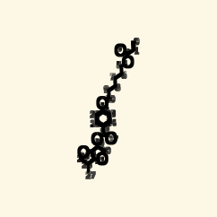 C=CC(=O)OCCCCCCOc1ccc(C(=O)OC2COC3C2OC[C@@H]3C)cc1